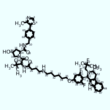 Cc1ncsc1-c1ccc(CNC(=O)[C@@H]2C[C@@H](O)CN2C(=O)C(NC(=O)CCCNCCCCCCOc2cc(F)c([C@@H]3c4[nH]c5ccccc5c4C[C@@H](C)N3CC(C)(C)F)c(F)c2)C(C)(C)C)cc1